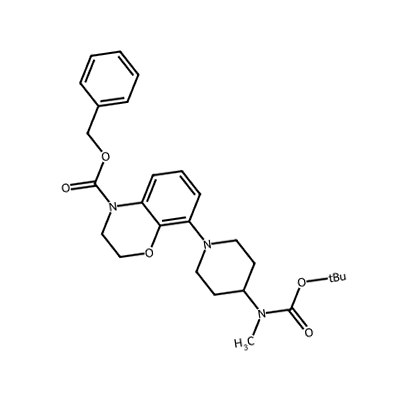 CN(C(=O)OC(C)(C)C)C1CCN(c2cccc3c2OCCN3C(=O)OCc2ccccc2)CC1